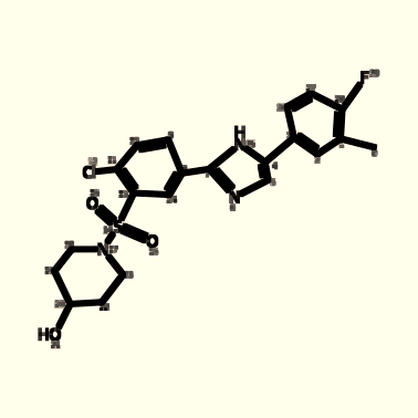 Cc1cc(-c2cnc(-c3ccc(Cl)c(S(=O)(=O)N4CCC(O)CC4)c3)[nH]2)ccc1F